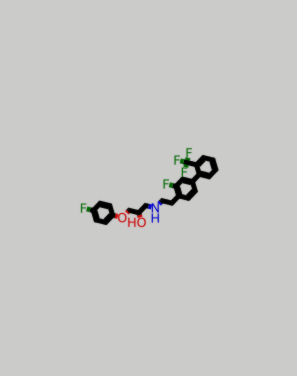 OC(CNCCc1ccc(-c2ccccc2C(F)(F)F)cc1F)COc1ccc(F)cc1